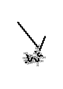 CCCCCCCCCCCCCCCCCCCCCCCC(=O)NC(CCCCCCCCCC)CO[C@@H]1OC(CO)[C@@H](O[C@@H]2OC(CO[C@]3(C(=O)O)C[C@@H](O)[C@@H](NC(C)=O)C([C@H](O)[C@H](O)CO)O3)[C@H](O)C(O)[C@@H]2O)C(O)[C@@H]1NC(C)=O